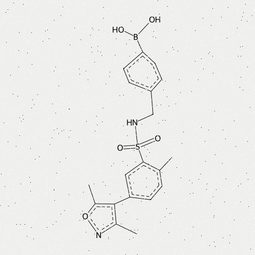 Cc1ccc(-c2c(C)noc2C)cc1S(=O)(=O)NCc1ccc(B(O)O)cc1